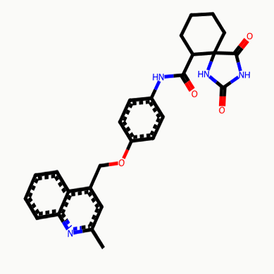 Cc1cc(COc2ccc(NC(=O)C3CCCCC34NC(=O)NC4=O)cc2)c2ccccc2n1